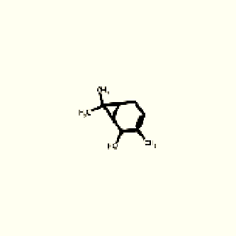 CC1=CCC2C(C1O)C2(C)C